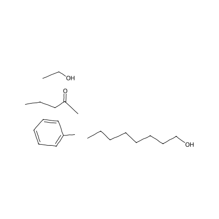 CCCC(C)=O.CCCCCCCCO.CCO.Cc1ccccc1